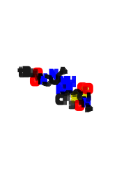 CC(C)(C)OC(=O)N1CCc2cc(Nc3ncc(C(F)(F)F)c(-c4cc5c(s4)C(=O)N(C4CC4)CCS5(=O)=O)n3)c(C3CC3)nc2C1